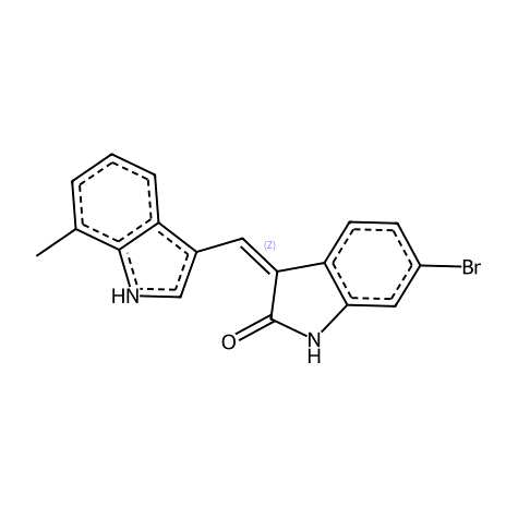 Cc1cccc2c(/C=C3\C(=O)Nc4cc(Br)ccc43)c[nH]c12